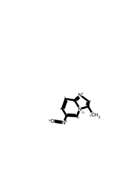 Cc1cnc2ccc(N=O)cn12